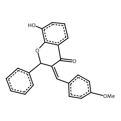 COc1ccc(C=C2C(=O)c3cccc(O)c3OC2c2ccccc2)cc1